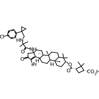 CC(C)C1=C2[C@H]3CC[C@@H]4[C@@]5(C)CC[C@H](OC(=O)[C@H]6C[C@@H](C(=O)O)C6(C)C)C(C)(C)C5CC[C@@]4(C)[C@]3(C)CC[C@@]2(NC(=O)C(C)(C)NCC2(c3ccc(Cl)cc3)CC2)CC1=O